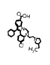 CCC1CCN(CCN2CCn3c(c(C4CCCCC4)c4ccc(C(=O)O)cc43)-c3ccc(Cl)cc32)C1